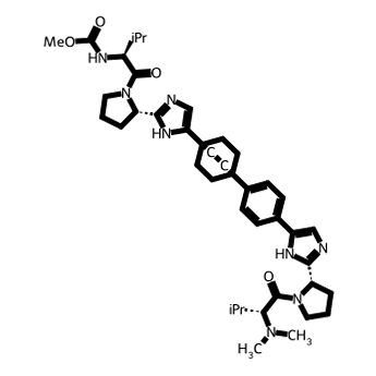 COC(=O)N[C@H](C(=O)N1CCC[C@H]1c1ncc(C23CCC(c4ccc(-c5cnc([C@@H]6CCCN6C(=O)[C@@H](C(C)C)N(C)C)[nH]5)cc4)(CC2)CC3)[nH]1)C(C)C